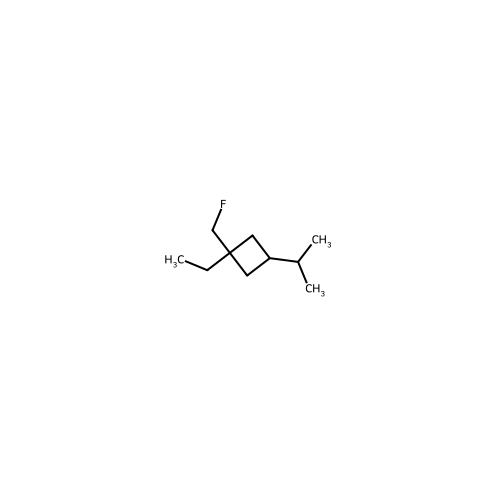 CCC1(CF)CC(C(C)C)C1